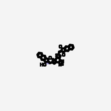 O=C1C(=Cc2cc3c4nsnc4c4cc(/C=C5\C(=O)c6cc7ccccc7cc6C5O)sc4c3s2)C(=O)c2cc3ccccc3cc21